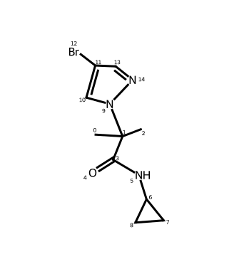 CC(C)(C(=O)NC1CC1)n1cc(Br)cn1